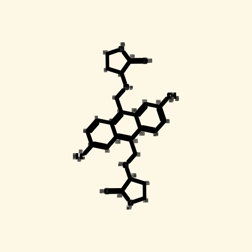 Cc1ccc2c(COC3CCOC3=O)c3cc(C)ccc3c(COC3CCOC3=O)c2c1